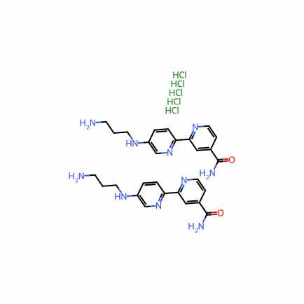 Cl.Cl.Cl.Cl.Cl.NCCCNc1ccc(-c2cc(C(N)=O)ccn2)nc1.NCCCNc1ccc(-c2cc(C(N)=O)ccn2)nc1